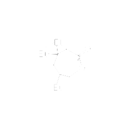 CCC1COC(=O)CC(CC)(CC)C1